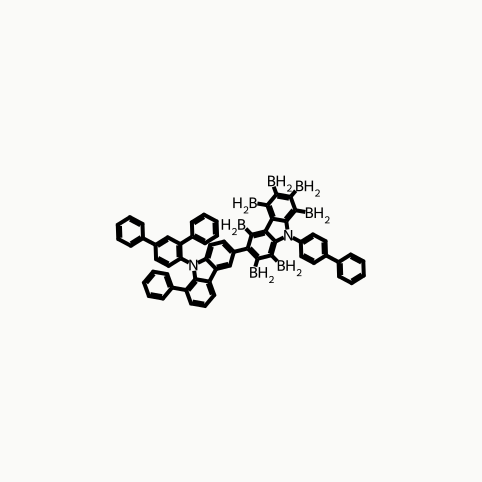 Bc1c(B)c(B)c2c(c1B)c1c(B)c(-c3ccc4c(c3)c3cccc(-c5ccccc5)c3n4-c3ccc(-c4ccccc4)cc3-c3ccccc3)c(B)c(B)c1n2-c1ccc(-c2ccccc2)cc1